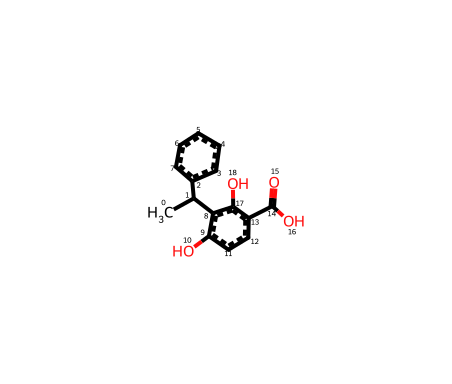 CC(c1ccccc1)c1c(O)ccc(C(=O)O)c1O